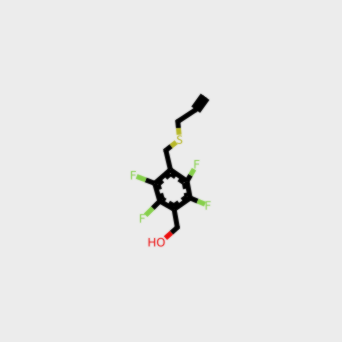 C#CCSCc1c(F)c(F)c(CO)c(F)c1F